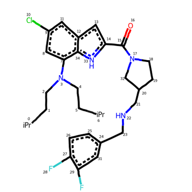 CC(C)CCN(CCC(C)C)c1cc(Cl)cc2cc(C(=O)N3CCC(CNCc4ccc(F)c(F)c4)C3)[nH]c12